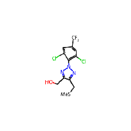 CSCc1nn(-c2c(Cl)cc(C(F)(F)F)cc2Cl)nc1CO